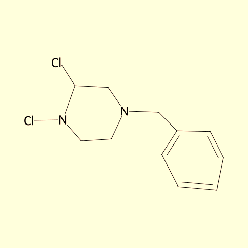 ClC1CN(Cc2ccccc2)CCN1Cl